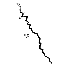 CCCCCCCCCCCCCCCCCCCCCC(=O)OCCO.O